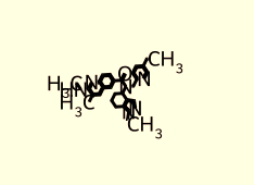 CCc1ccc(CN(C(=O)c2ccc3nc(NC)c(C)cc3c2)C2CCCc3c2cnn3CC)nc1